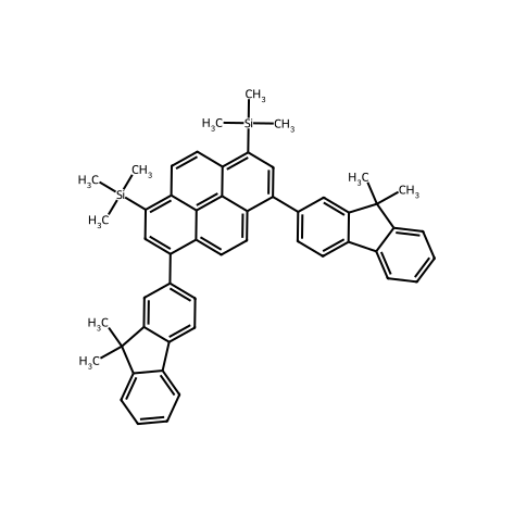 CC1(C)c2ccccc2-c2ccc(-c3cc([Si](C)(C)C)c4ccc5c([Si](C)(C)C)cc(-c6ccc7c(c6)C(C)(C)c6ccccc6-7)c6ccc3c4c65)cc21